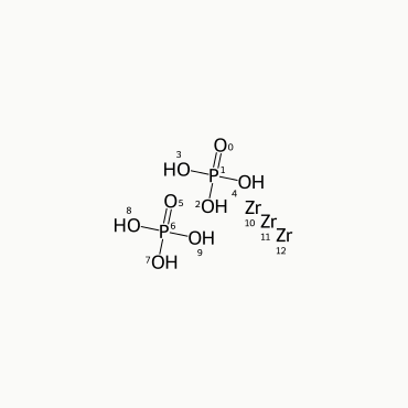 O=P(O)(O)O.O=P(O)(O)O.[Zr].[Zr].[Zr]